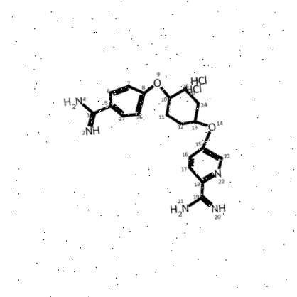 Cl.Cl.N=C(N)c1ccc(OC2CCC(Oc3ccc(C(=N)N)nc3)CC2)cc1